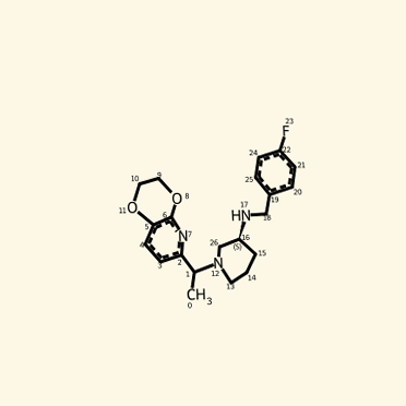 CC(c1ccc2c(n1)OCCO2)N1CCC[C@H](NCc2ccc(F)cc2)C1